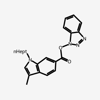 CCCCCCCn1cc(C)c2ccc(C(=O)On3nnc4ccccc43)cc21